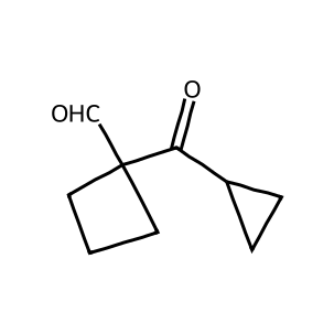 O=CC1(C(=O)C2CC2)CCC1